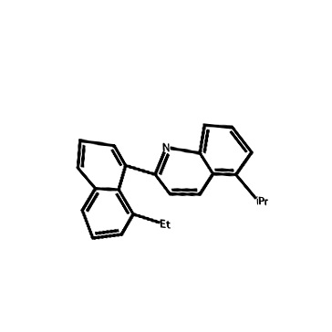 CCc1cccc2cccc(-c3ccc4c(C(C)C)cccc4n3)c12